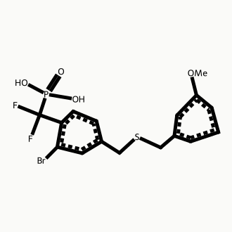 COc1cccc(CSCc2ccc(C(F)(F)P(=O)(O)O)c(Br)c2)c1